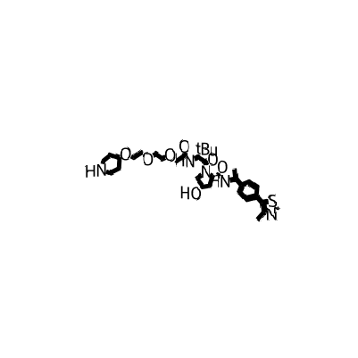 Cc1ncsc1-c1ccc(C(C)NC(=O)[C@@H]2C[C@@H](O)CN2C(=O)C(NC(=O)COCCOCCOC2CCNCC2)C(C)(C)C)cc1